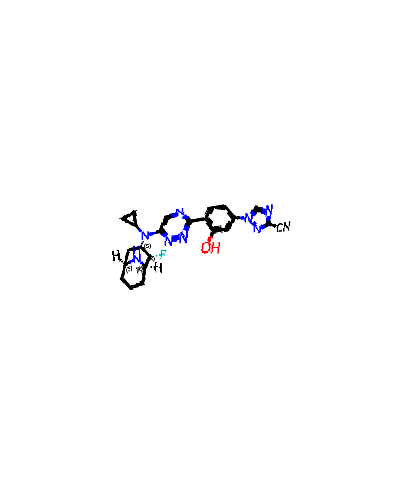 N#Cc1ncn(-c2ccc(-c3ncc(N(C4CC4)[C@H]4C[C@@H]5CCC[C@@H](N5)[C@H]4F)nn3)c(O)c2)n1